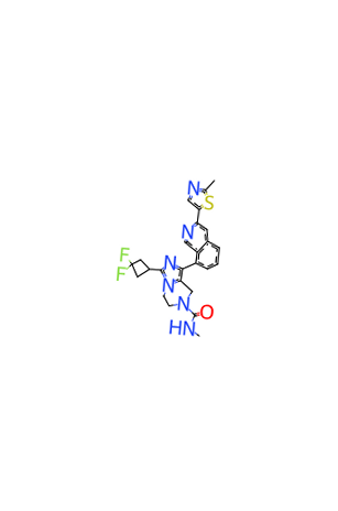 CNC(=O)N1CCn2c(C3CC(F)(F)C3)nc(-c3cccc4cc(-c5cnc(C)s5)ncc34)c2C1